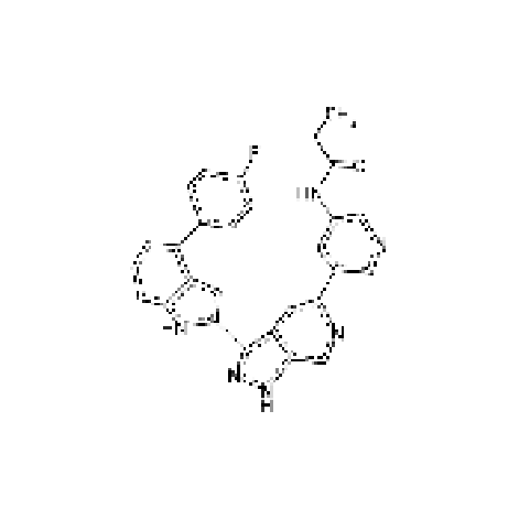 CCC(=O)Nc1cncc(-c2cc3c(-c4cc5c(-c6ccc(F)cc6)cccc5[nH]4)n[nH]c3cn2)c1